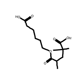 CC(CC(C)(C)C(=O)O)C(=O)OCCCCCC(=O)O